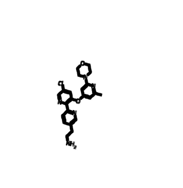 Cc1cc(Oc2cc(Cl)cnc2-c2ccc(CCN)cn2)cc(N2CCOCC2)n1